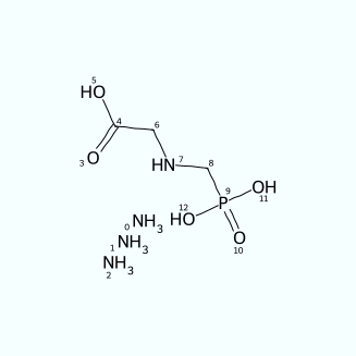 N.N.N.O=C(O)CNCP(=O)(O)O